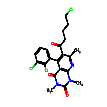 Cc1nc2c(c(-c3cccc(Cl)c3Cl)c1C(=O)CCCCCl)c(=O)n(C)c(=O)n2C